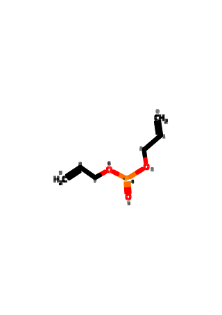 C=CCO[P](=O)OCC=C